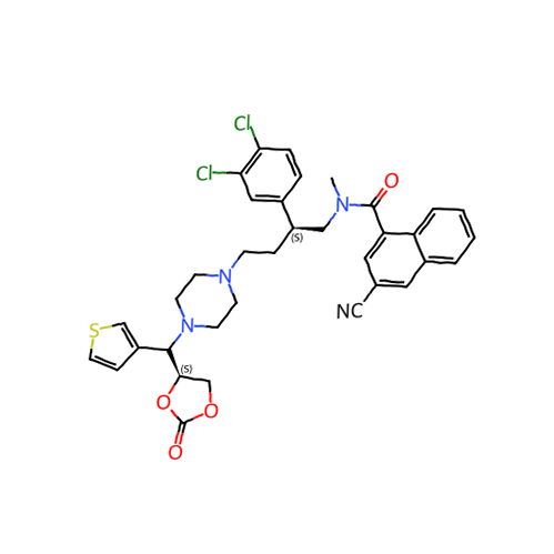 CN(C[C@@H](CCN1CCN(C(c2ccsc2)[C@H]2COC(=O)O2)CC1)c1ccc(Cl)c(Cl)c1)C(=O)c1cc(C#N)cc2ccccc12